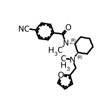 CN(Cc1ccco1)[C@@H]1CCCC[C@H]1N(C)C(=O)c1ccc(C#N)cc1